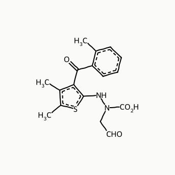 Cc1ccccc1C(=O)c1c(NN(CC=O)C(=O)O)sc(C)c1C